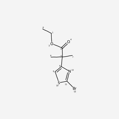 CCOC(=O)C(C)(C)c1csc(Br)n1